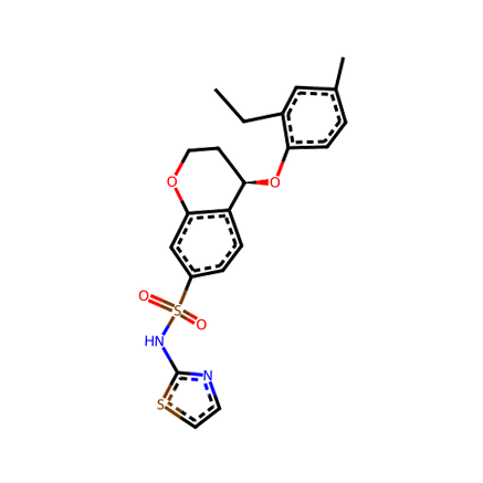 CCc1cc(C)ccc1O[C@@H]1CCOc2cc(S(=O)(=O)Nc3nccs3)ccc21